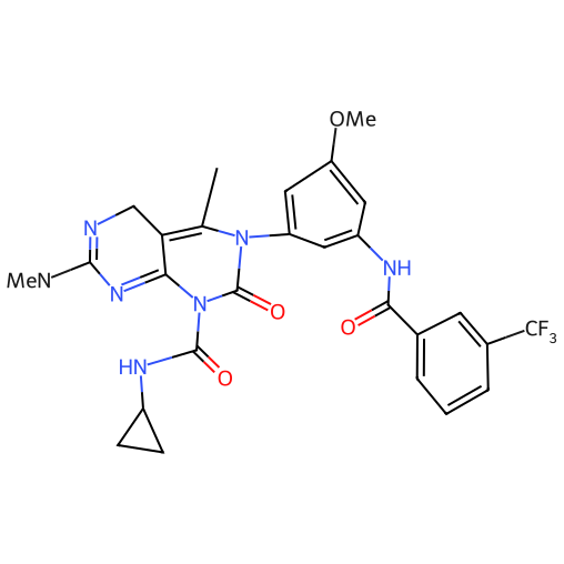 CNC1=NCC2=C(C)N(c3cc(NC(=O)c4cccc(C(F)(F)F)c4)cc(OC)c3)C(=O)N(C(=O)NC3CC3)C2=N1